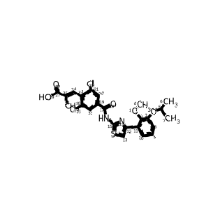 COc1c(OC(C)C)cccc1-c1csc(NC(=O)c2cc(Cl)c(C=C(C)C(=O)O)c(Cl)c2)n1